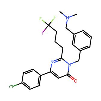 CN(C)Cc1cccc(Cn2c(CCCC(F)(F)I)nc(-c3ccc(Cl)cc3)cc2=O)c1